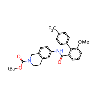 COc1cccc(C(=O)Nc2ccc3c(c2)CCN(C(=O)OC(C)(C)C)C3)c1-c1ccc(C(F)(F)F)cc1